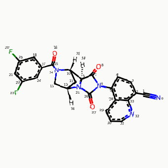 N#Cc1ccc(N2C(=O)[C@@H]3[C@@H]4C[C@@H](CN4C(=O)c4cc(F)cc(F)c4)N3C2=O)c2cccnc12